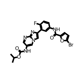 CC(C)OC(=O)Nc1cnc2nc(-c3cc(NC(=O)c4ccc(Br)o4)ccc3F)cn2c1